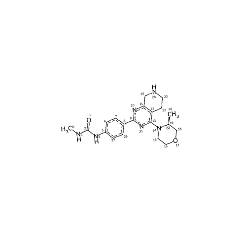 CNC(=O)Nc1ccc(-c2nc3c(c(N4CCOC[C@@H]4C)n2)CCNC3)cc1